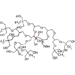 CNCC(COCC(COCC(COCC(C)(CO)CO)COCC(C)(CO)CO)COCC(COCC(C)(CO)CO)COCC(C)(CO)CO)COCC(COCC(COCC(C)(CO)CO)COCC(C)(CO)CO)COCC(COCC(C)(CO)CO)COCC(C)(CO)CO